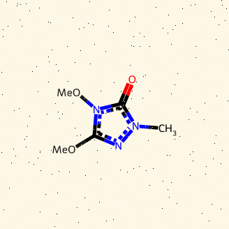 COc1nn(C)c(=O)n1OC